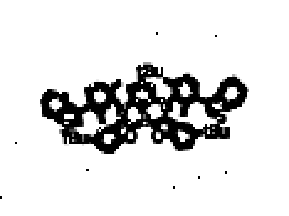 Cc1ccc(-c2csc3ccccc23)c(C)c1N1c2cc(C(C)(C)C)cc3c2B(c2oc4ccc(C(C)(C)C)cc4c21)c1oc2ccc(C(C)(C)C)cc2c1N3c1c(C)ccc(-c2csc3ccccc23)c1C